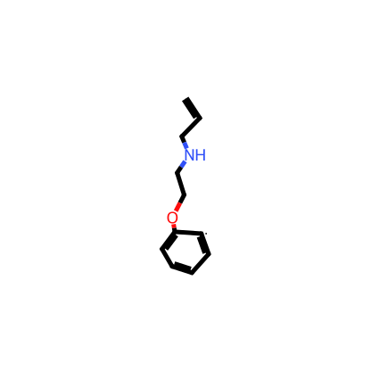 C=CCNCCOc1[c]cccc1